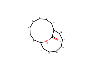 O=C1OC2CCCCCCCC1CCCCCC2